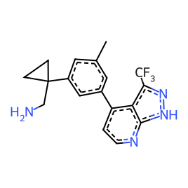 Cc1cc(-c2ccnc3[nH]nc(C(F)(F)F)c23)cc(C2(CN)CC2)c1